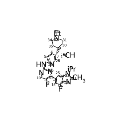 C#C[C@H](c1ccc(Nc2ncc(F)c(-c3cc(F)c4nc(C)n(C(C)C)c4c3)n2)nc1)C1CCN(CC)CC1